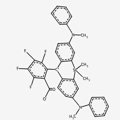 CN(c1ccccc1)c1ccc2c(c1)[Si](C)(C)c1cc(N(C)c3ccccc3)ccc1[C+]2c1c(F)c(F)c(F)c(F)c1C(=O)[O-]